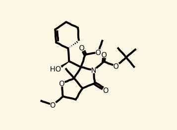 COC(=O)C1([C@@H](O)[C@@H]2C=CCCC2)N(C(=O)OC(C)(C)C)C(=O)C2CC(OC)OC21C